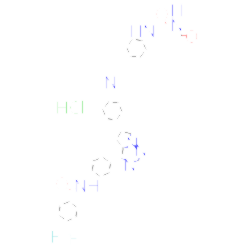 Cc1cc(-c2ncnn3cc(-c4ccc(CN5CCC(c6ccc(NC7CCC(=O)NC7=O)cc6)CC5)cc4)cc23)ccc1CNC(=O)c1ccc(C(F)F)cc1.Cl